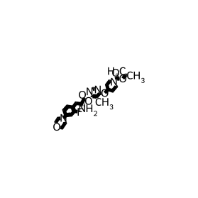 Cc1c(OC(=O)[C@@H](N)Cc2ccc(N3CCOCC3)cc2F)ncnc1OC1CCN(C(=O)OC(C)C)CC1